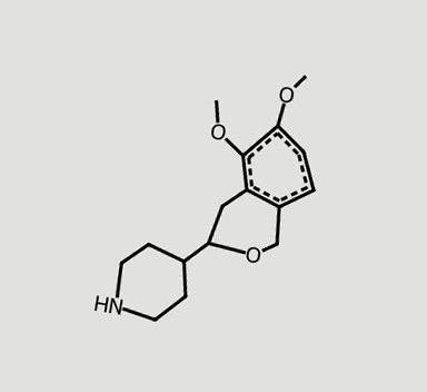 COc1ccc2c(c1OC)CC(C1CCNCC1)OC2